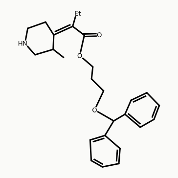 CCC(C(=O)OCCCOC(c1ccccc1)c1ccccc1)=C1CCNCC1C